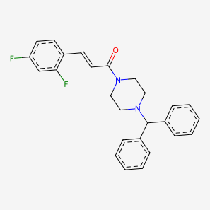 O=C(/C=C/c1ccc(F)cc1F)N1CCN(C(c2ccccc2)c2ccccc2)CC1